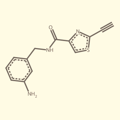 C#Cc1nc(C(=O)NCc2cccc(N)c2)cs1